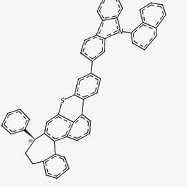 c1ccc([C@@H]2CCc3ccccc3-c3c2cc2c4c(cccc34)-c3ccc(-c4ccc5c6ccccc6n(-c6cccc7ccccc67)c5c4)cc3S2)cc1